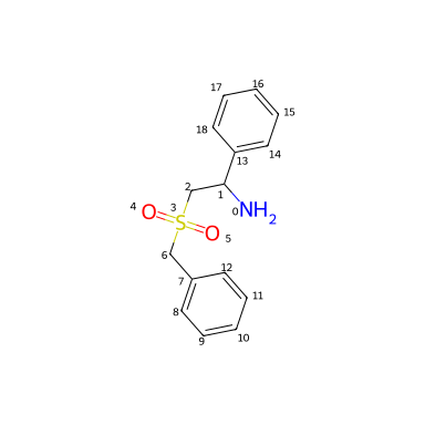 NC(CS(=O)(=O)Cc1ccccc1)c1ccccc1